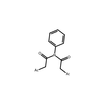 CC(=O)CC(=O)N(C(=O)CC(C)=O)c1ccccc1